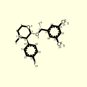 C[C@@H](O[C@H]1OCCN(C)[C@@H]1c1ccc(F)cc1)c1cc(C(F)(F)F)cc(C(F)(F)F)c1